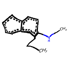 CCc1c(NC)ccc2ccccc12